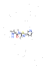 Cc1nc(-c2cccnc2)sc1N(C)C(=O)C1CCN1